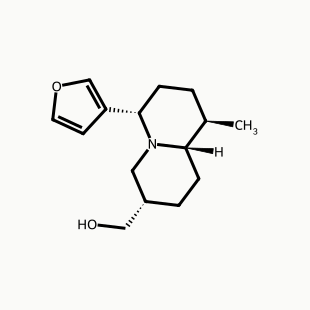 C[C@@H]1CC[C@@H](c2ccoc2)N2C[C@@H](CO)CC[C@@H]12